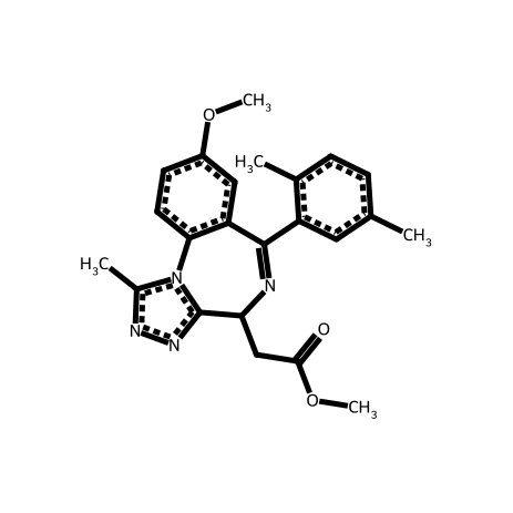 COC(=O)CC1N=C(c2cc(C)ccc2C)c2cc(OC)ccc2-n2c(C)nnc21